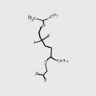 CC(C)OCC(F)(F)CCC(C)OCC(F)F